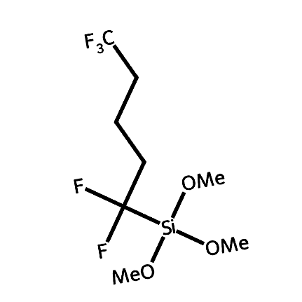 CO[Si](OC)(OC)C(F)(F)CCCC(F)(F)F